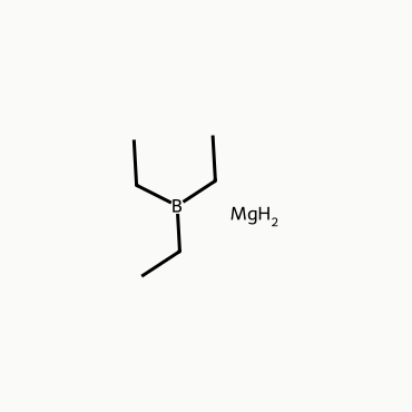 CCB(CC)CC.[MgH2]